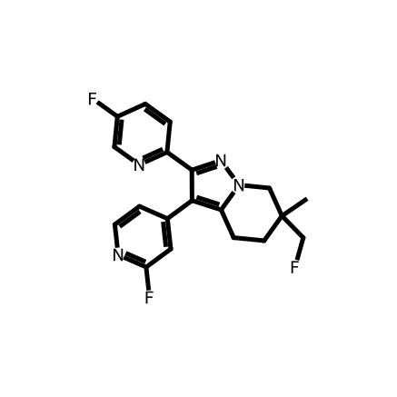 CC1(CF)CCc2c(-c3ccnc(F)c3)c(-c3ccc(F)cn3)nn2C1